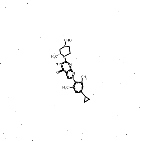 Cc1cc(C2CC2)cc(C)c1-n1cc2c(=O)[nH]c(N3CCN(C=O)C[C@H]3C)nc2n1